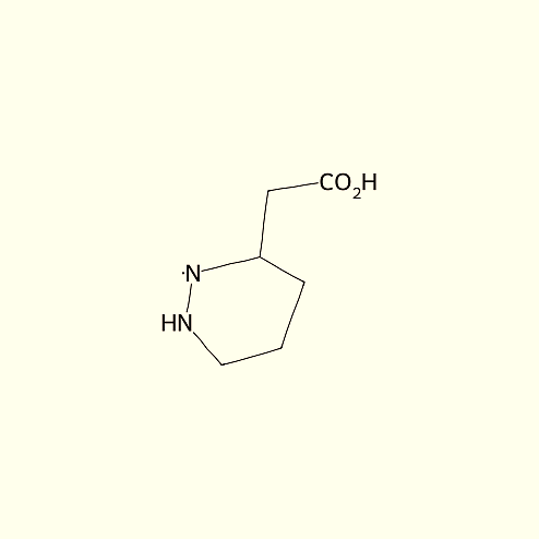 O=C(O)CC1CCCN[N]1